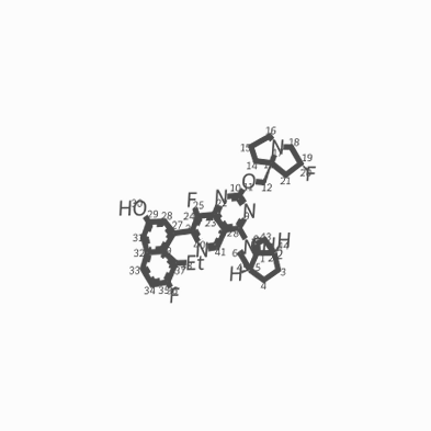 C=C1[C@@H]2CC[C@H]1CN(c1nc(OC[C@@]34CCCN3C[C@H](F)C4)nc3c(F)c(-c4cc(O)cc5ccc(F)c(CC)c45)ncc13)C2